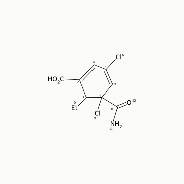 CCC1C(C(=O)O)=CC(Cl)=CC1(Cl)C(N)=O